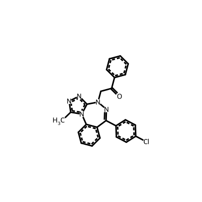 Cc1nnc2n1-c1ccccc1C(c1ccc(Cl)cc1)=NN2CC(=O)c1ccccc1